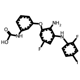 Nc1c(Nc2ccc(I)cc2F)cc(F)cc1Oc1cccc(NC(=O)O)c1